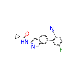 N#Cc1ccc(F)cc1-c1ccc2cc(NC(=O)C3CC3)ncc2c1